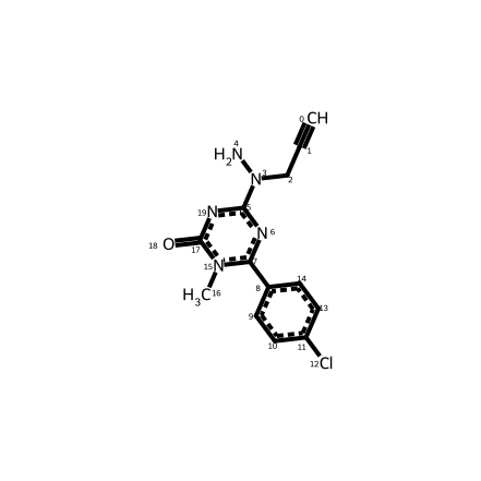 C#CCN(N)c1nc(-c2ccc(Cl)cc2)n(C)c(=O)n1